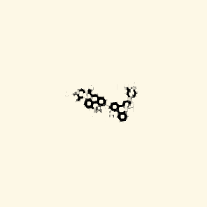 CC(=O)N1CCN(C(=O)/C=C/c2ccc(Sc3ccc(/C=C/C(=O)N4CCN(C(C)=O)C(C)C4)c(-c4ccccc4C(C)C)c3[N+](=O)[O-])c([N+](=O)[O-])c2-c2ccccc2C(C)C)CC1C